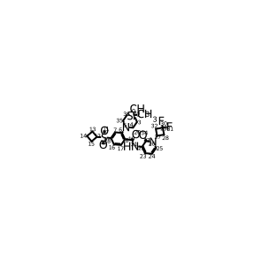 C[Si]1(C)CCN(c2cc(S(=O)(=O)C3CCC3)ccc2C(=O)Nc2cccn(C3CC(F)(F)C3)c2=O)CC1